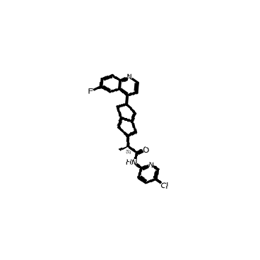 C[C@H](C(=O)Nc1ccc(Cl)cn1)C1CC2CC(c3ccnc4ccc(F)cc34)CC2C1